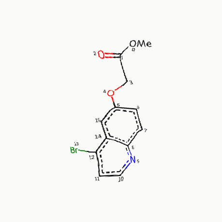 COC(=O)COc1ccc2nccc(Br)c2c1